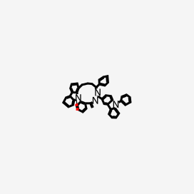 C=C1/N=C(c2ccc3c(c2)c2ccccc2n3-c2ccccc2)\N=C(\c2ccccc2)CCCc2cccc3c4ccccc4n(c23)-c2c1ccc1ccccc21